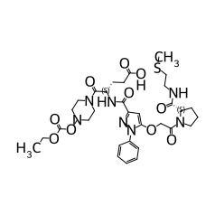 CCOC(=O)ON1CCN(C(=O)[C@H](CCC(=O)O)NC(=O)c2cc(OCC(=O)N3CCC[C@H]3C(=O)NCCSC)n(-c3ccccc3)n2)CC1